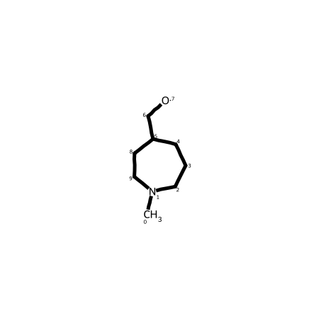 CN1CCCC(C[O])CC1